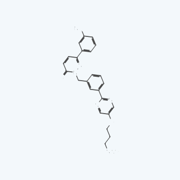 CNCCCOc1cnc(-c2cccc(Cn3nc(-c4cccc(C#N)c4)ccc3=O)c2)nc1